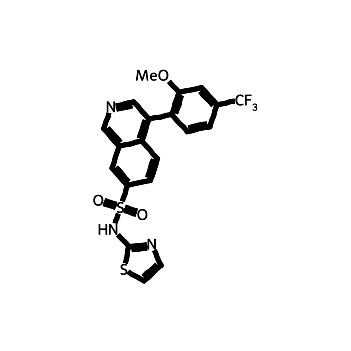 COc1cc(C(F)(F)F)ccc1-c1cncc2cc(S(=O)(=O)Nc3nccs3)ccc12